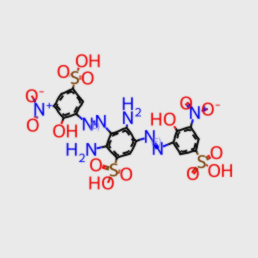 Nc1c(/N=N/c2cc(S(=O)(=O)O)cc([N+](=O)[O-])c2O)cc(S(=O)(=O)O)c(N)c1/N=N/c1cc(S(=O)(=O)O)cc([N+](=O)[O-])c1O